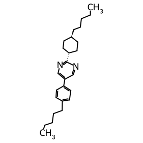 CCCCCc1ccc(-c2cnc([C@H]3CC[C@H](CCCCC)CC3)nc2)cc1